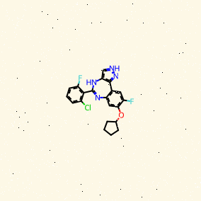 Fc1cc2c(cc1OC1CCCC1)N=C(c1c(F)cccc1Cl)Nc1c[nH]nc1-2